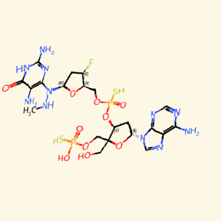 CNN(c1nc(N)[nH]c(=O)c1N)[C@H]1C[C@@H](F)[C@@H](COP(=O)(S)O[C@H]2C[C@H](n3cnc4c(N)ncnc43)OC2(CO)COP(=O)(O)S)O1